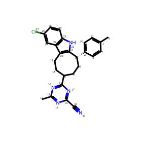 Cc1ccc([C@@H]2CCC(c3nc(C)nc(C#N)n3)CCc3c2[nH]c2ccc(Cl)cc32)cc1